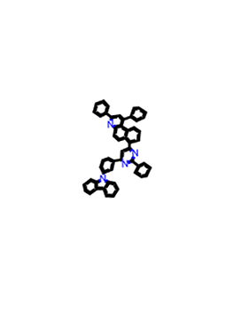 c1ccc(-c2cc(-c3ccccc3)c3c(ccc4c(-c5cc(-c6cccc(-n7c8ccccc8c8ccccc87)c6)nc(-c6ccccc6)n5)cccc43)n2)cc1